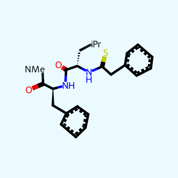 CNC(=O)[C@H](Cc1ccccc1)NC(=O)[C@H](CC(C)C)NC(=S)Cc1ccccc1